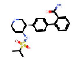 CC(C)S(=O)(=O)N[C@H]1CCNC[C@@H]1c1ccc(-c2ccccc2C(N)=O)cc1